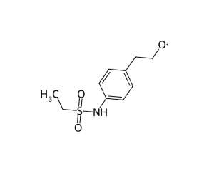 CCS(=O)(=O)Nc1ccc(CC[O])cc1